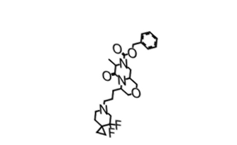 CC1C(=O)N2C(CCCN3CCC4(CC4)C(F)(F)C3)COCC2CN1C(=O)OCc1ccccc1